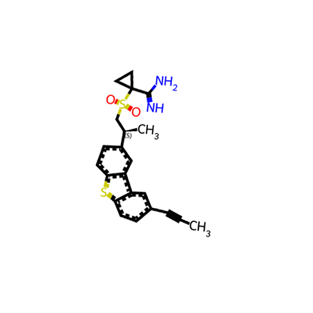 CC#Cc1ccc2sc3ccc([C@H](C)CS(=O)(=O)C4(C(=N)N)CC4)cc3c2c1